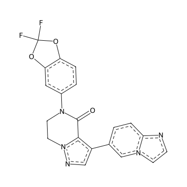 O=C1c2c(-c3ccc4nccn4c3)cnn2CCN1c1ccc2c(c1)OC(F)(F)O2